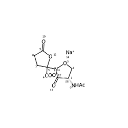 CC(=O)N[C@H]1CON(C2(C(=O)[O-])CCC(=O)O2)C1=O.[Na+]